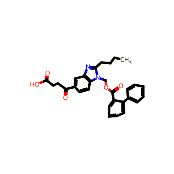 CCCCc1nc2cc(C(=O)CCC(=O)O)ccc2n1COC(=O)c1ccccc1-c1ccccc1